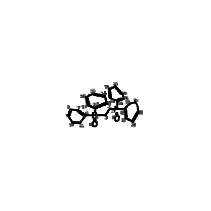 O=P(CCP(=O)(c1ccccc1)c1ccccc1)(C1=CC=CCC1)c1ccccc1